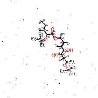 CCC(O[Si](CC)(CC)CC)C(C)(C)[C@@H](O)[C@@H](O)/C(C)=C(\C)C(C)OC(=O)C(O[Si](CC)(CC)CC)[C@@H](C)CC(C)C